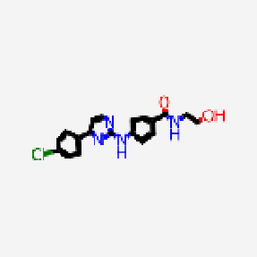 O=C(NCCO)c1ccc(Nc2nccc(-c3ccc(Cl)cc3)n2)cc1